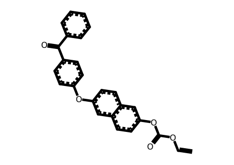 C=COC(=O)Oc1ccc2cc(Oc3ccc(C(=O)c4ccccc4)cc3)ccc2c1